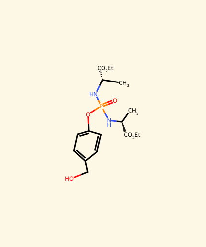 CCOC(=O)[C@H](C)NP(=O)(N[C@@H](C)C(=O)OCC)Oc1ccc(CO)cc1